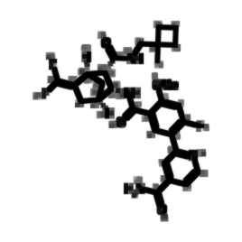 COc1cc(F)c(-c2cc(C(N)=O)ccn2)cc1C(=O)N[C@@H]1[C@H]2CC(=C(F)F)[C@H](C2)[C@@H]1C(=O)NCC1(C)CCC1